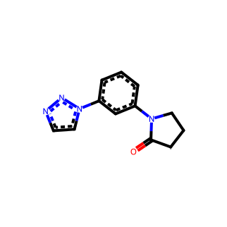 O=C1[CH]CCN1c1cccc(-n2ccnn2)c1